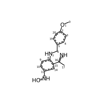 COc1ccc(CNc2ccc(NO)cc2C(C)=N)cc1